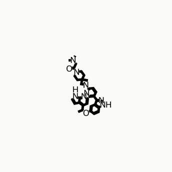 CC(Oc1ccc2[nH]nc(-c3ccc(N4CC5(CCN(C(=O)CN(C)C)CC5)C4)nc3)c2c1)c1ccnc2[nH]ccc12